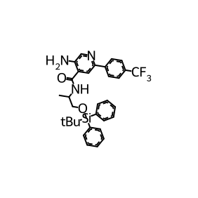 CC(CO[Si](c1ccccc1)(c1ccccc1)C(C)(C)C)NC(=O)c1cc(-c2ccc(C(F)(F)F)cc2)ncc1N